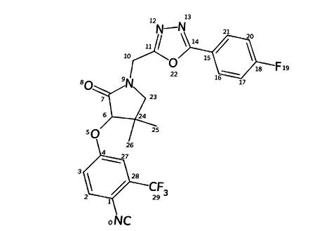 [C-]#[N+]c1ccc(OC2C(=O)N(Cc3nnc(-c4ccc(F)cc4)o3)CC2(C)C)cc1C(F)(F)F